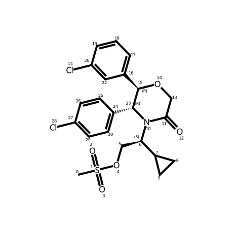 CS(=O)(=O)OC[C@H](C1CC1)N1C(=O)CO[C@H](c2cccc(Cl)c2)[C@H]1c1ccc(Cl)cc1